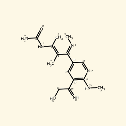 C/N=C(\C(C)=C(/C)NC(N)=O)c1cnc(NC)c(C(=N)CO)c1